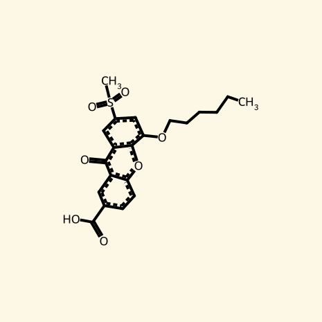 CCCCCCOc1cc(S(C)(=O)=O)cc2c(=O)c3cc(C(=O)O)ccc3oc12